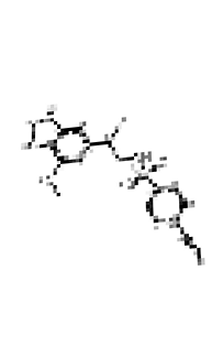 COc1cc(C(I)CNS(=O)(=O)c2ccc(C#N)cc2)cc2c1OCO2